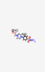 NS(=O)(=O)c1ccc(N2CCN(CCOC=O)CC2)c([N+](=O)[O-])c1